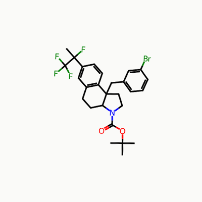 CC(C)(C)OC(=O)N1CCC2(Cc3cccc(Br)c3)c3ccc(C(C)(F)C(F)(F)F)cc3CCC12